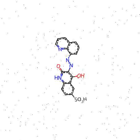 O=c1[nH]c2ccc(S(=O)(=O)O)cc2c(O)c1/N=N/c1cccc2cccnc12